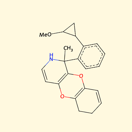 COC1CC1c1ccccc1C1(C)NC=CC2=C1OC1=C(CCC=C1)O2